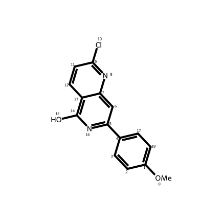 COc1ccc(-c2cc3nc(Cl)ccc3c(O)n2)cc1